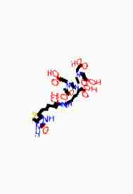 O=C(O)CN(CCN(CCN(CC(=O)O)CC(=O)O)C(CCCCNC(=O)CCCCC1SCC2NC(=O)NC21)C(=O)O)CC(=O)O